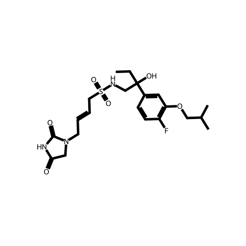 CCC(O)(CNS(=O)(=O)C/C=C/CN1CC(=O)NC1=O)c1ccc(F)c(OCC(C)C)c1